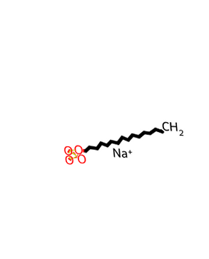 C=CCCCCCCCCCCCCCCOS(=O)(=O)[O-].[Na+]